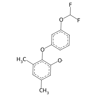 Cc1cc(C)c(Oc2cccc(OC(F)F)c2)c([O])c1